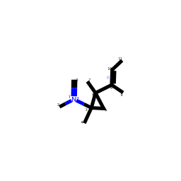 C=[N+](C)C1(C)CC1(C)/C(C)=C/C